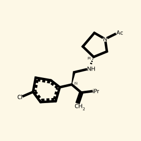 C=C(C(C)C)[C@H](CN[C@@H]1CCN(C(C)=O)C1)c1ccc(Cl)cc1